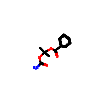 CC(C)(OC(N)=O)OC(=O)c1ccccc1